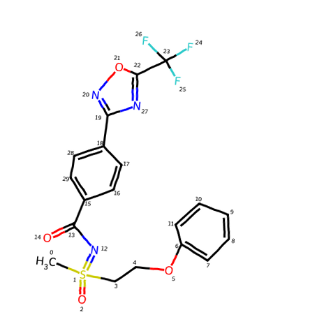 CS(=O)(CCOc1ccccc1)=NC(=O)c1ccc(-c2noc(C(F)(F)F)n2)cc1